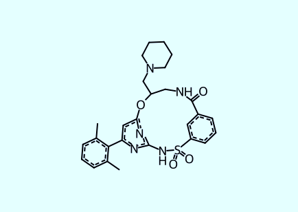 Cc1cccc(C)c1-c1cc2nc(n1)NS(=O)(=O)c1cccc(c1)C(=O)NCC(CN1CCCCC1)O2